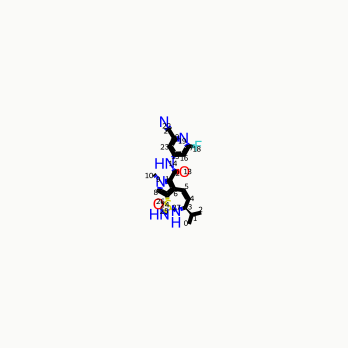 CC(C)[C@@H]1C=Cc2c(cn(C)c2C(=O)Nc2cc(F)nc(C#N)c2)S(=N)(=O)N1